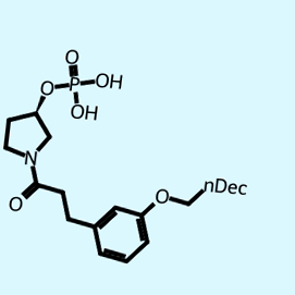 CCCCCCCCCCCOc1cccc(CCC(=O)N2CC[C@@H](OP(=O)(O)O)C2)c1